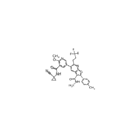 CNC(=O)c1c(-c2ccc(C)cc2)oc2nc(CCC(F)(F)F)c(-c3cnc(OC)c(C(=O)NC4(C#N)CC4)c3)cc12